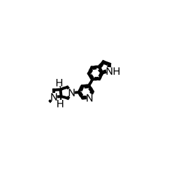 CN1C[C@H]2CN(c3cncc(-c4ccc5cc[nH]c5c4)c3)C[C@@H]21